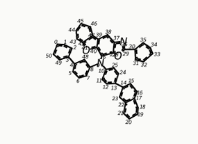 c1ccc(-c2cccc(N(c3ccc(-c4ccc5ccccc5c4)cc3)c3c4oc(-c5ccccc5)nc4cc4c3oc3ccccc34)c2)cc1